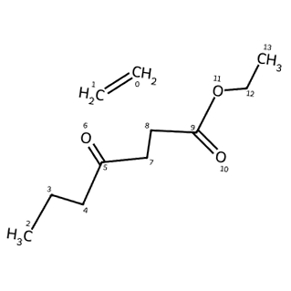 C=C.CCCC(=O)CCC(=O)OCC